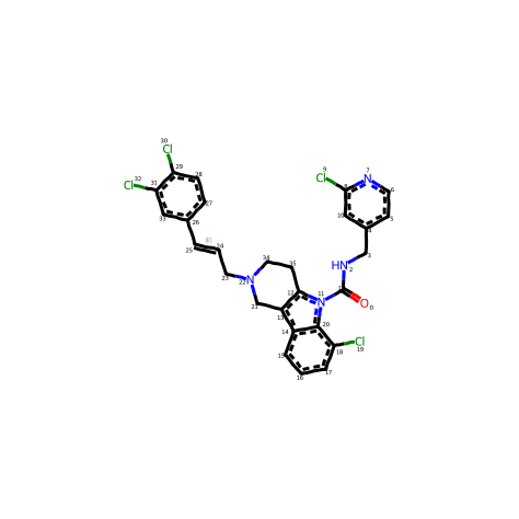 O=C(NCc1ccnc(Cl)c1)n1c2c(c3cccc(Cl)c31)CN(C/C=C/c1ccc(Cl)c(Cl)c1)CC2